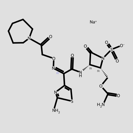 NC(=O)OC[C@@H]1[C@H](NC(=O)/C(=N\OCC(=O)N2CCCCCC2)c2csc(N)n2)C(=O)N1S(=O)(=O)[O-].[Na+]